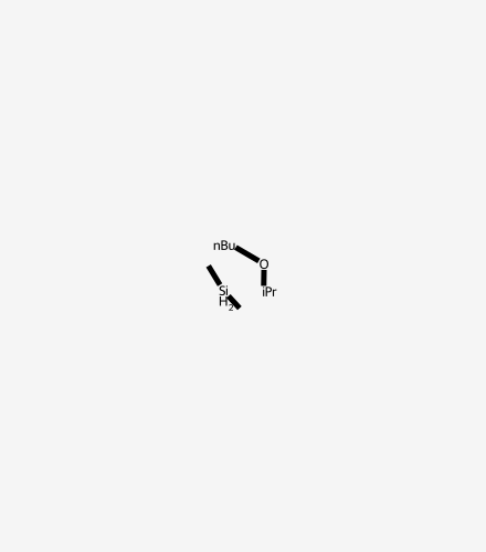 CCCCOC(C)C.C[SiH2]C